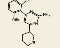 CC(C)COc1cccc(O)c1-c1cc(C2CCCNC2)nc(N)n1